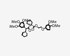 COc1ccc(OCCOC(=O)[C@@H]2CCCCN2C(=O)[C@H](c2cc(OC)c(OC)c(OC)c2)[C@@H]2C=CCCC2)cc1OC